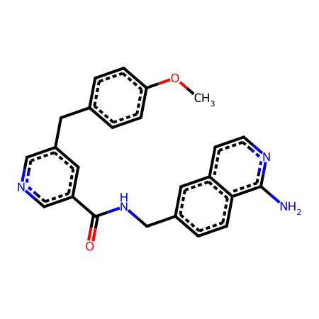 COc1ccc(Cc2cncc(C(=O)NCc3ccc4c(N)nccc4c3)c2)cc1